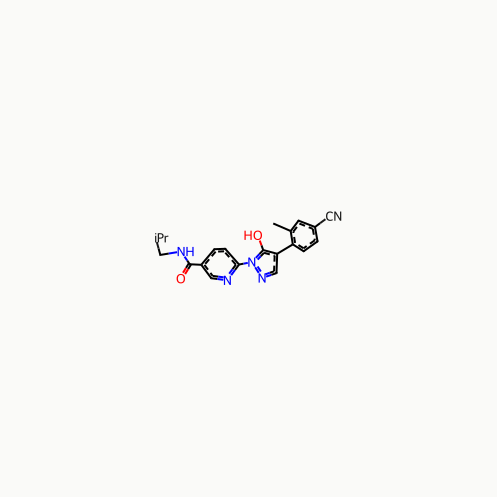 Cc1cc(C#N)ccc1-c1cnn(-c2ccc(C(=O)NCC(C)C)cn2)c1O